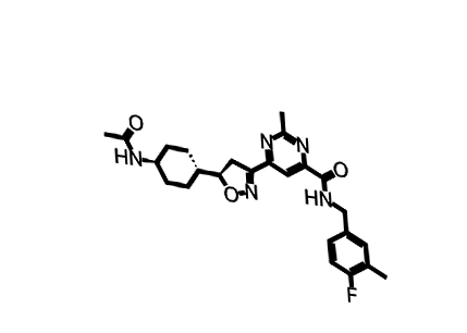 CC(=O)N[C@H]1CC[C@H]([C@H]2CC(c3cc(C(=O)NCc4ccc(F)c(C)c4)nc(C)n3)=NO2)CC1